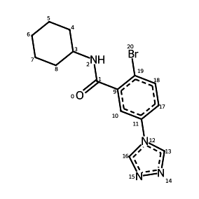 O=C(NC1CCCCC1)c1cc(-n2cnnc2)ccc1Br